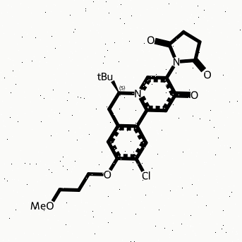 COCCCOc1cc2c(cc1Cl)-c1cc(=O)c(N3C(=O)CCC3=O)cn1[C@H](C(C)(C)C)C2